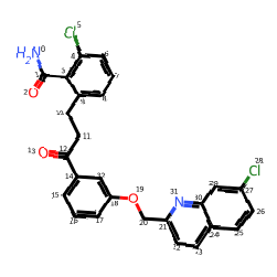 NC(=O)c1c(Cl)cccc1CCC(=O)c1cccc(OCc2ccc3ccc(Cl)cc3n2)c1